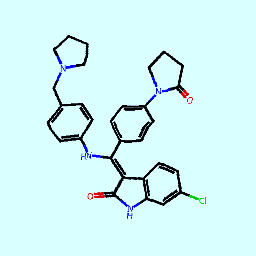 O=C1Nc2cc(Cl)ccc2/C1=C(/Nc1ccc(CN2CCCC2)cc1)c1ccc(N2CCCC2=O)cc1